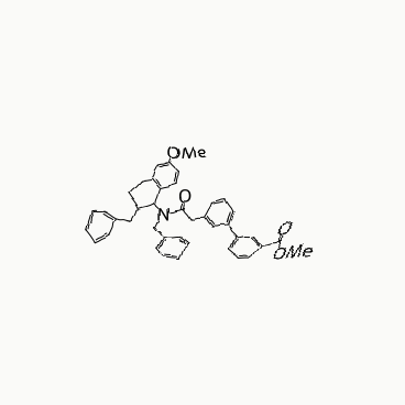 COC(=O)c1cccc(-c2cccc(CC(=O)N(Cc3ccccc3)C3c4ccc(OC)cc4CCC3Cc3ccccc3)c2)c1